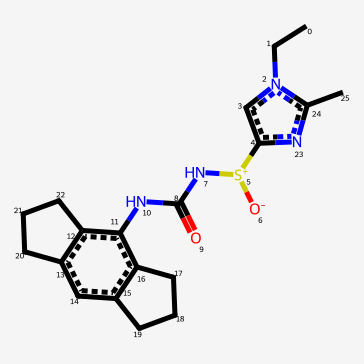 CCn1cc([S+]([O-])NC(=O)Nc2c3c(cc4c2CCC4)CCC3)nc1C